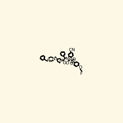 N#Cc1ccc2c(c1)n(C(C(=O)N1CC[C@@H](CN3CCN(Cc4ccccc4)CC3)C1)c1ccccc1)c(=O)n2S(=O)(=O)c1ccc(OCCF)cc1